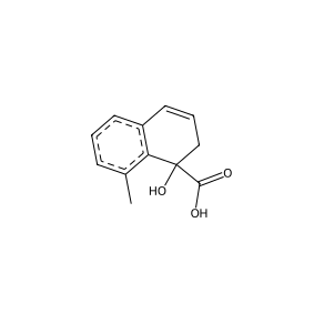 Cc1cccc2c1C(O)(C(=O)O)CC=C2